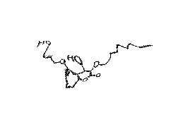 CCCCCCCCOc1c(O)c2c(OCCCO)cccc2oc1=O